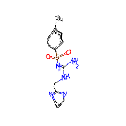 CC(C)(C)c1ccc(S(=O)(=O)/N=C(\N)NCc2ncccn2)cc1